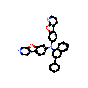 c1ccc(-c2cc(N(c3ccc4c(c3)oc3cnccc34)c3ccc4c(c3)oc3ncccc34)c3ccccc3c2)cc1